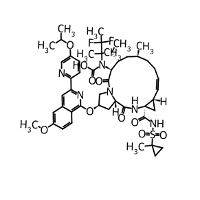 CC[C@@H]1C[C@@H](C)CC/C=C\[C@@H]2C[C@@]2(C(=O)NS(=O)(=O)C2(C)CC2)NC(=O)[C@@H]2C[C@@H](Oc3nc(-c4ccc(OC(C)C)cn4)cc4cc(OC)ccc34)CN2C(=O)[C@H]1N(C(=O)O)C(C)(C)C(C)(F)F